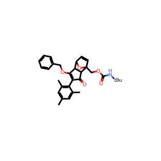 Cc1cc(C)c(C2=C(OCc3ccccc3)C3C4C=CC(COC(=O)NC(C)(C)C)(O4)C3C2=O)c(C)c1